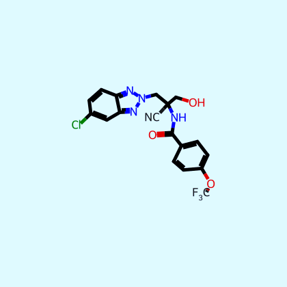 N#CC(CO)(Cn1nc2ccc(Cl)cc2n1)NC(=O)c1ccc(OC(F)(F)F)cc1